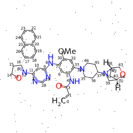 C=CC(=O)Nc1cc(Nc2cc(N3OCC[C@@H]3c3ccc4ccccc4c3)ncn2)c(OC)cc1N1CCC(N2C[C@@H]3C[C@H]2CO3)CC1